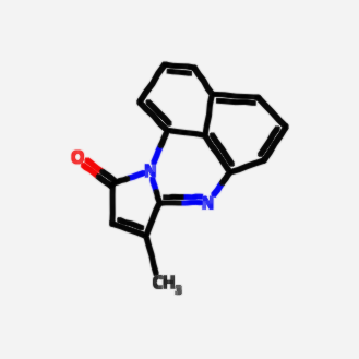 CC1=CC(=O)N2C1=Nc1cccc3cccc2c13